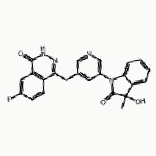 CC1(O)C(=O)N(c2cncc(Cc3n[nH]c(=O)c4cc(F)ccc34)c2)c2ccccc21